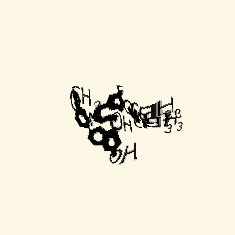 COC1=CC(N(CCO)Cc2ccc(OCC(C)(C)N(C)C)c(F)c2)C([C@@H]2CCc3cc(O)ccc3C2)C=C1